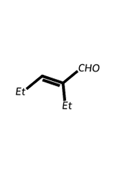 CCC=C(C=O)CC